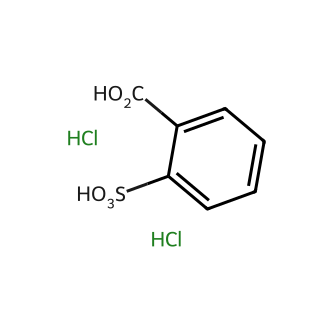 Cl.Cl.O=C(O)c1ccccc1S(=O)(=O)O